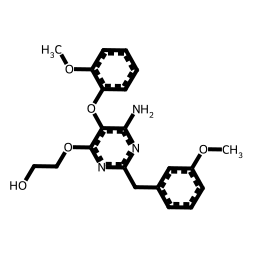 COc1cccc(Cc2nc(N)c(Oc3ccccc3OC)c(OCCO)n2)c1